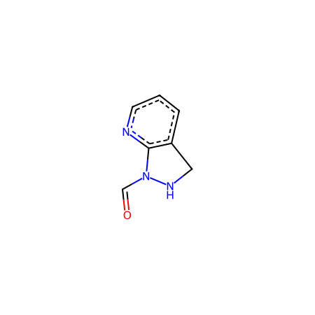 O=CN1NCc2cccnc21